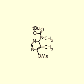 COc1ncnc(N(C)C(=O)OC(C)(C)C)c1C